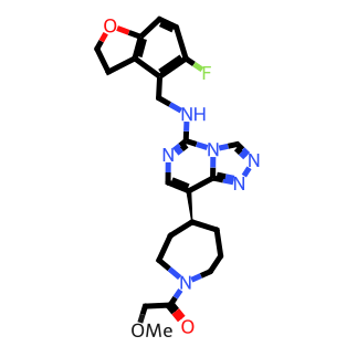 COCC(=O)N1CCC[C@H](c2cnc(NCc3c(F)ccc4c3CCO4)n3cnnc23)CC1